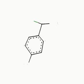 CCOC(=O)C(F)c1ccc(C(C)(C)C)cc1